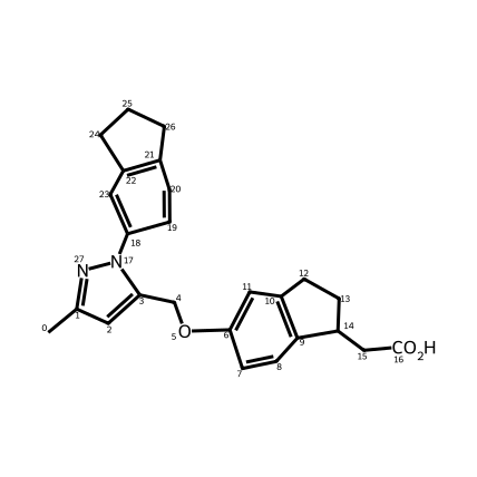 Cc1cc(COc2ccc3c(c2)CCC3CC(=O)O)n(-c2ccc3c(c2)CCC3)n1